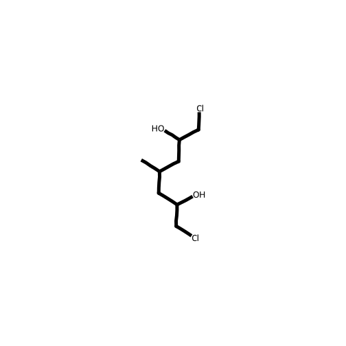 CC(CC(O)CCl)CC(O)CCl